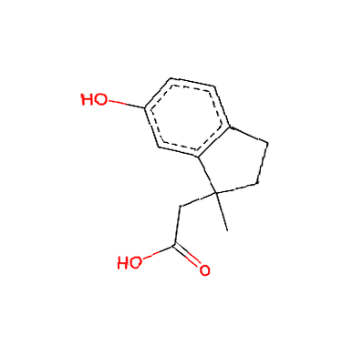 CC1(CC(=O)O)CCc2ccc(O)cc21